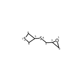 C1OC1CSC1CSC1